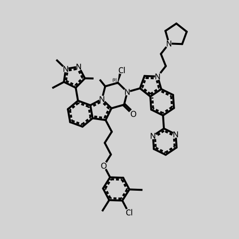 Cc1cc(OCCCc2c3n(c4c(-c5c(C)nn(C)c5C)cccc24)C(C)[C@@H](Cl)N(c2cn(CCN4CCCC4)c4ccc(-c5ncccn5)cc24)C3=O)cc(C)c1Cl